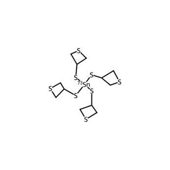 C1SCC1[S][73Sn]([S]C1CSC1)([S]C1CSC1)[S]C1CSC1